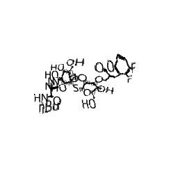 CCCCNC(=O)c1cn([C@@]2(O)[C@@H](O)[C@@H](S[C@H]3O[C@H](CO)[C@H](O)[C@H](OCc4cc5c(F)c(F)ccc5oc4=O)[C@H]3O)O[C@H](CO)[C@@H]2O)nn1